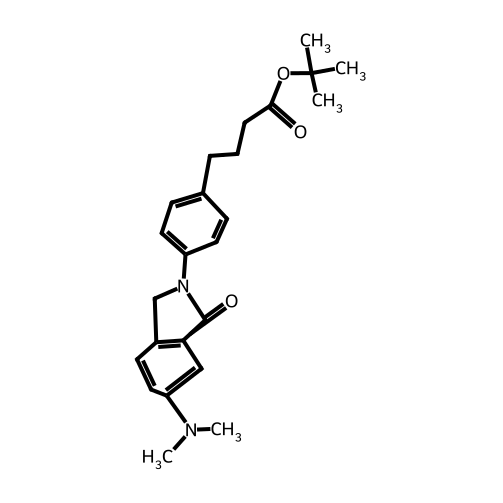 CN(C)c1ccc2c(c1)C(=O)N(c1ccc(CCCC(=O)OC(C)(C)C)cc1)C2